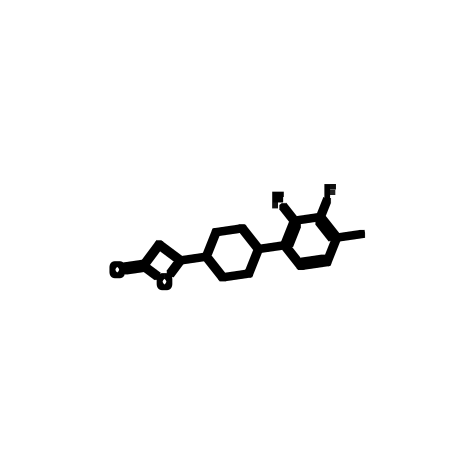 Cc1ccc(C2CCC(C3CC(=O)O3)CC2)c(F)c1F